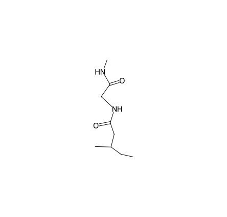 CCC(C)CC(=O)NCC(=O)NC